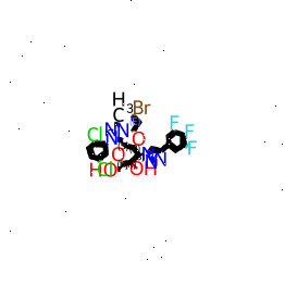 Cc1nc([C@@H]2O[C@H](CO)[C@H](O)[C@H](n3cc(-c4cc(F)c(F)c(F)c4)nn3)[C@H]2OC/C=C/Br)n(-c2cc(Cl)ccc2Cl)n1